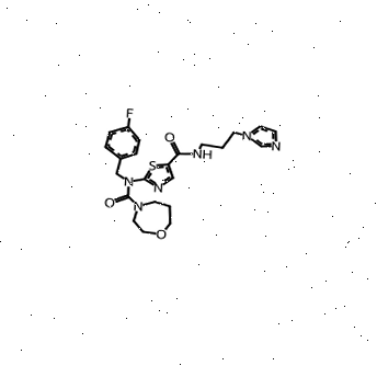 O=C(NCCCn1ccnc1)c1cnc(N(Cc2ccc(F)cc2)C(=O)N2CCCOCC2)s1